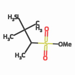 COS(=O)(=O)C(C)C(C)(C)[SiH3]